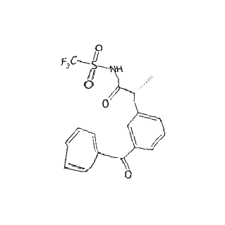 C[C@@H](C(=O)NS(=O)(=O)C(F)(F)F)c1cccc(C(=O)c2ccccc2)c1